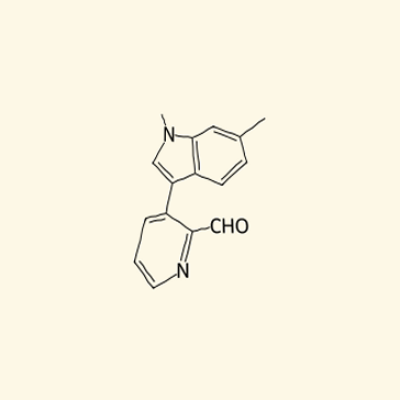 Cc1ccc2c(-c3cccnc3C=O)cn(C)c2c1